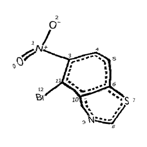 O=[N+]([O-])c1ccc2scnc2c1Br